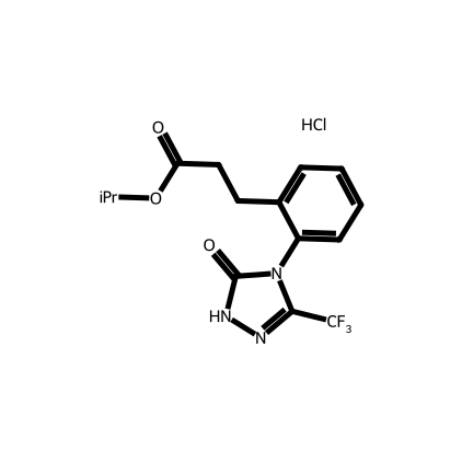 CC(C)OC(=O)CCc1ccccc1-n1c(C(F)(F)F)n[nH]c1=O.Cl